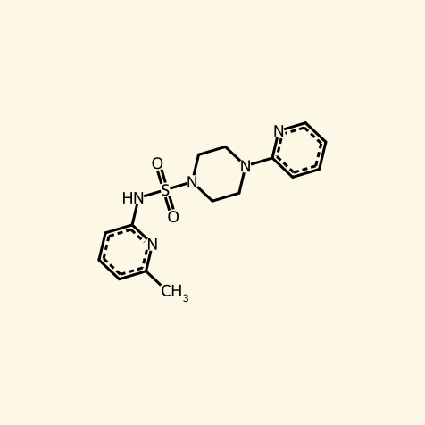 Cc1cccc(NS(=O)(=O)N2CCN(c3ccccn3)CC2)n1